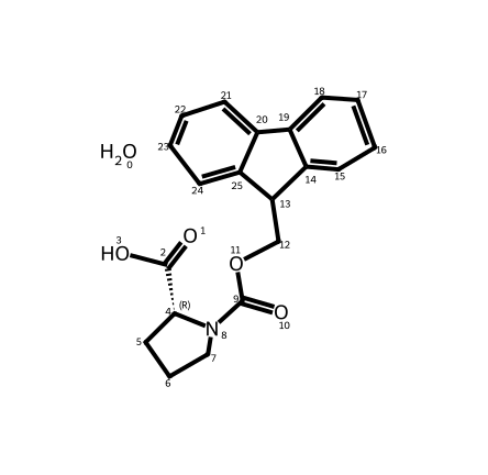 O.O=C(O)[C@H]1CCCN1C(=O)OCC1c2ccccc2-c2ccccc21